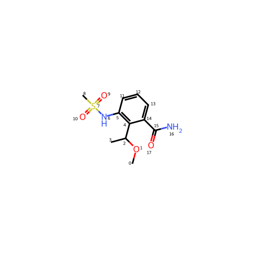 COC(C)c1c(NS(C)(=O)=O)cccc1C(N)=O